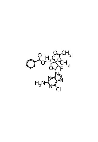 CC(=O)O[C@@]1(C)[C@@H](COC(=O)c2ccccc2)O[C@@H](n2cnc3c(Cl)nc(N)nc32)[C@]1(C)F